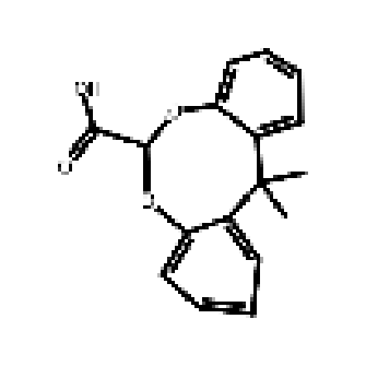 CC1(C)c2ccccc2OC(C(=O)O)Oc2ccccc21